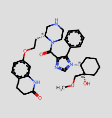 COC[C@]1(O)CCCC[C@H]1n1cnc(C(=O)N2CCNC[C@H]2CCOc2ccc3c(c2)NC(=O)CC3)c1-c1ccccc1